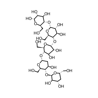 OC[C@@H]1C[C@H](O)[C@@H](O)[C@@H](O[C@H]2[C@H](O)C[C@@H](O[C@H]3[C@H](O)[C@@H](O)[C@@H](O[C@H]4[C@H](O)[C@@H](O)[C@@H](O[C@H]5[C@H](O)[C@@H](O)[C@@H](O)O[C@@H]5CO)O[C@@H]4CO)O[C@@H]3CO)O[C@@H]2CO)O1